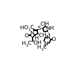 C[C@@H](O)[C@H]1C(=O)N2C(C(=O)O)=C(S[C@@H]3CN[C@H](CN4CCN(C)CC4=O)C3)[C@H](C)[C@H]12.Cl